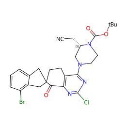 CC(C)(C)OC(=O)N1CCN(c2nc(Cl)nc3c2CCC2(Cc4cccc(Br)c4C2)C3=O)C[C@@H]1CC#N